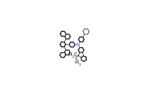 CC1(C)c2ccccc2-c2ccc(N(c3ccc(-c4c(-c5cccc6ccccc56)cccc4-c4cccc5ccccc45)cc3)c3ccc(C4CCCCC4)cc3)cc21